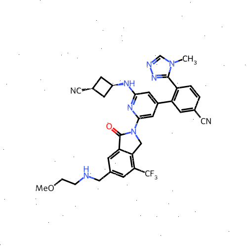 COCCNCc1cc2c(c(C(F)(F)F)c1)CN(c1cc(-c3cc(C#N)ccc3-c3nncn3C)cc(N[C@H]3C[C@@H](C#N)C3)n1)C2=O